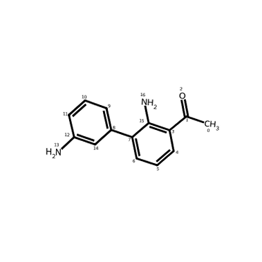 CC(=O)c1cccc(-c2cccc(N)c2)c1N